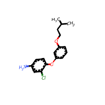 CC(C)CCOc1cccc(Oc2ccc(N)cc2Cl)c1